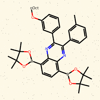 CCCCCCCCOc1cccc(-c2nc3c(B4OC(C)(C)C(C)(C)O4)ccc(B4OC(C)(C)C(C)(C)O4)c3nc2-c2cccc(C)c2)c1